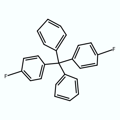 Fc1ccc(C(c2ccccc2)(c2ccccc2)c2ccc(F)cc2)cc1